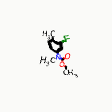 CCOC(=O)N(C)c1ccc(C)c(F)c1